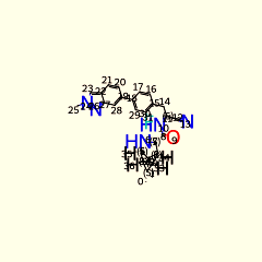 C[C@H]1[C@H]2[C@H]3C[C@H](N[C@@H]3C(=O)N[C@H](C#N)Cc3ccc(-c4ccc5cn(C)nc5c4)cc3F)[C@@H]12